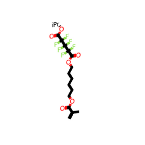 C=C(C)C(=O)OCCCCCCOC(=O)C(F)(F)C(F)(F)C(F)(F)C(=O)OC(C)C